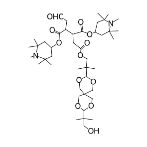 CN1C(C)(C)CC(OC(=O)C(CC=O)C(CC(=O)OCC(C)(C)C2OCC3(COC(C(C)(C)CO)OC3)CO2)C(=O)OC2CC(C)(C)N(C)C(C)(C)C2)CC1(C)C